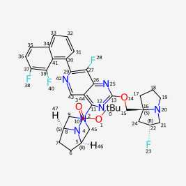 CC(C)(C)OC(=O)N1[C@@H]2CC[C@H]1CN(c1nc(OC[C@@]34CCCN3C[C@H](F)C4)nc3c(F)c(-c4cccc5ccc(F)c(F)c45)ncc13)C2